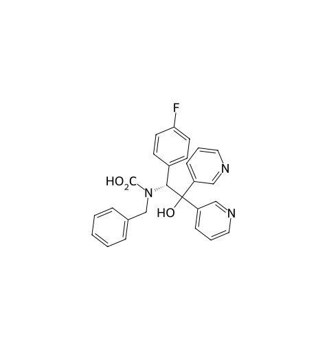 O=C(O)N(Cc1ccccc1)[C@H](c1ccc(F)cc1)C(O)(c1cccnc1)c1cccnc1